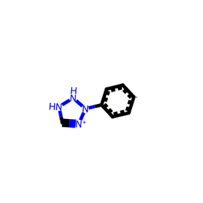 C1#[N+]N(c2cc[c]cc2)NN1